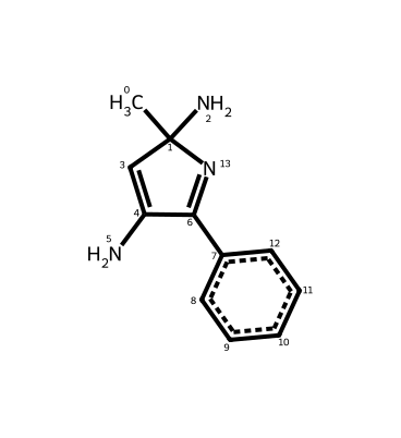 CC1(N)C=C(N)C(c2ccccc2)=N1